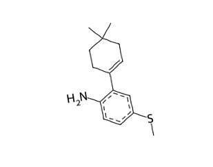 CSc1ccc(N)c(C2=CCC(C)(C)CC2)c1